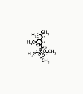 CCO[Si](OCC)(OCC)OC(=O)CCC(CC(C)C)CC(C)C